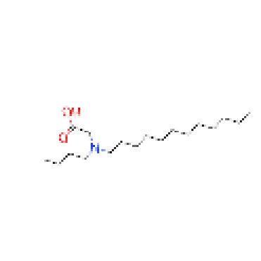 CCCCCCCCCCCCN(CCCC)CC(=O)O